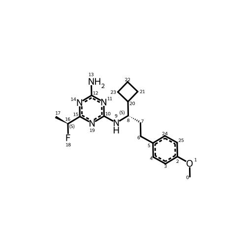 COc1ccc(CC[C@H](Nc2nc(N)nc([C@H](C)F)n2)C2CCC2)cc1